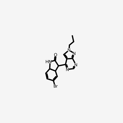 CCCn1cc2c(C3C(=O)NC4C=CC(Br)=CC43)ncnc2n1